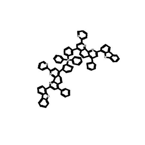 c1ccc(-c2cc(-c3cccc4c3oc3ccccc34)nc3c2ccc2c(-c4cccc([Si](c5ccccc5)(c5ccccc5)c5cccc(-c6cc(-c7ccccn7)nc7c6ccc6c(-c8ccccc8)cc(-c8cccc9c8oc8ccccc89)nc67)c5)c4)cc(-c4ccccn4)nc23)cc1